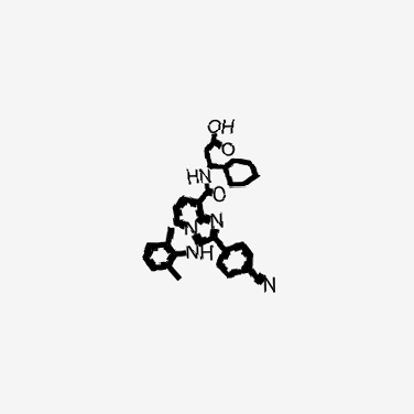 Cc1cccc(C)c1Nc1c(-c2ccc(C#N)cc2)nc2c(C(=O)NC(CC(=O)O)C3CCCCC3)cccn12